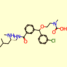 CN[C@H](CNC(=O)c1cccc(C(OCCN(C)C(=O)O)c2cccc(Cl)c2)c1)CC(C)C